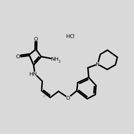 Cl.Nc1c(NC/C=C\COc2cccc(CN3CCCCC3)c2)c(=O)c1=O